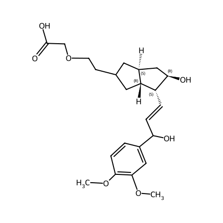 COc1ccc(C(O)C=C[C@@H]2[C@@H]3CC(CCOCC(=O)O)C[C@H]3C[C@H]2O)cc1OC